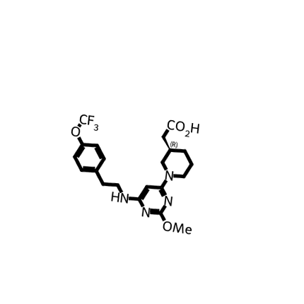 COc1nc(NCCc2ccc(OC(F)(F)F)cc2)cc(N2CCC[C@H](CC(=O)O)C2)n1